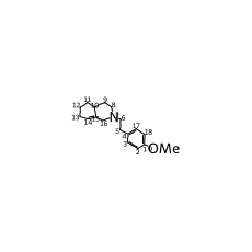 COc1ccc(CCN2CCC3CCCC=C3C2)cc1